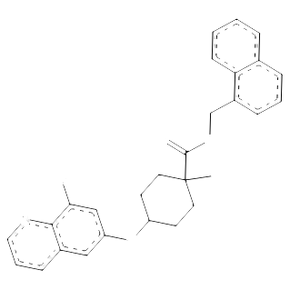 CC1(C(=O)OCc2cccc3ccccc23)CCC(Oc2cc(C(=O)O)c3ncccc3c2)CC1